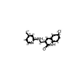 O=c1[nH]c2ccc(Cl)cc2cc1CNc1cc(I)ccn1